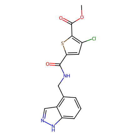 COC(=O)c1sc(C(=O)NCc2cccc3[nH]ncc23)cc1Cl